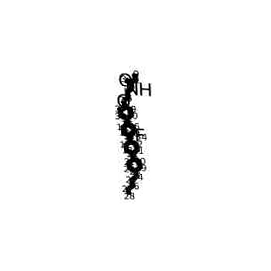 C=CC(=O)NCCOc1ccc(-c2ccc(C3CCC(C4CCC(CCCCC)CC4)CC3)c(F)c2)cc1